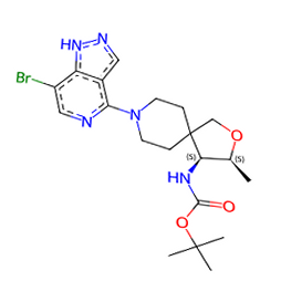 C[C@@H]1OCC2(CCN(c3ncc(Br)c4[nH]ncc34)CC2)[C@@H]1NC(=O)OC(C)(C)C